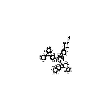 N#Cc1ccc(-c2ccc3c(c2)oc2c(-c4ccc5c(c4)c4ccccc4n5-c4ccccc4)nc(-n4c5cc6ccccc6cc5c5c6ccccc6ccc54)nc23)cc1